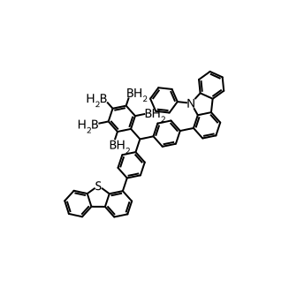 Bc1c(B)c(B)c(C(c2ccc(-c3cccc4c3sc3ccccc34)cc2)c2ccc(-c3cccc4c5ccccc5n(-c5ccccc5)c34)cc2)c(B)c1B